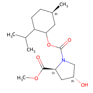 COC(=O)[C@@H]1C[C@@H](O)CN1C(=O)OC1C[C@H](C)CCC1C(C)C